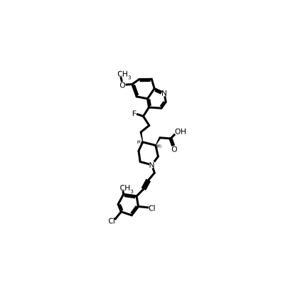 COc1ccc2nccc(C(F)CC[C@@H]3CCN(CC#Cc4c(C)cc(Cl)cc4Cl)C[C@@H]3CC(=O)O)c2c1